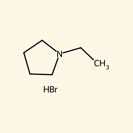 Br.CCN1CCCC1